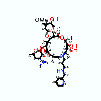 CC[C@H]1OC(=O)[C@H](C)[C@@H](O[C@H]2C[C@@](C)(OC)[C@@H](O)[C@H](C)O2)[C@H](C)[C@@H](O[C@@H]2O[C@H](C)C[C@H](N(C)C)[C@H]2O)[C@](C)(O)C[C@@H](C)CN(CCCNCc2ccccn2)[C@H](C)[C@@H](O)[C@]1(C)O